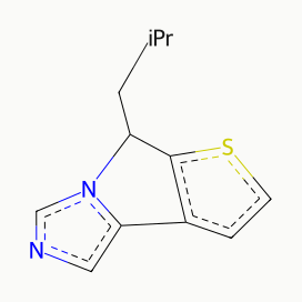 CC(C)CC1c2sccc2-c2cncn21